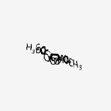 COc1ccc(C[C@H](CC(=O)N2CCN(C)CC2)C(=O)O)cc1